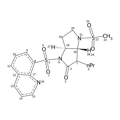 CCCC1C(=O)N(S(=O)(=O)c2cccc3cccnc23)[C@H]2CCN(S(C)(=O)=O)[C@H]12